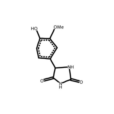 COc1cc(C2NC(=O)NC2=O)ccc1O